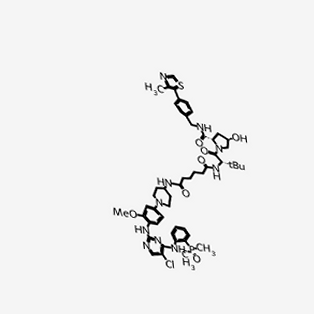 COc1cc(N2CCC(NC(=O)CCCCC(=O)N[C@H](C(=O)N3C[C@H](O)C[C@H]3C(=O)NCc3ccc(-c4scnc4C)cc3)C(C)(C)C)CC2)ccc1Nc1ncc(Cl)c(Nc2ccccc2P(C)(C)=O)n1